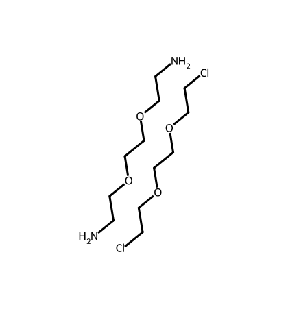 ClCCOCCOCCCl.NCCOCCOCCN